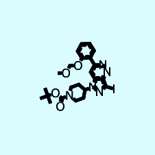 COCOc1ccccc1-c1cc2c(nn1)c(I)nn2C1CCN(C(=O)OC(C)(C)C)CC1